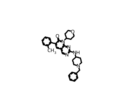 Cc1ccccc1-c1cc2cnc(NC3CCN(Cc4ccccc4)CC3)nc2n(C2CCOCC2)c1=O